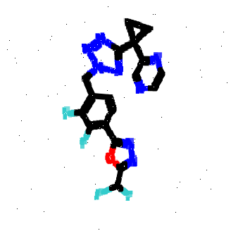 Fc1c(Cn2nnc(C3(c4cnccn4)CC3)n2)ccc(-c2nnc(C(F)F)o2)c1F